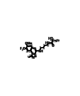 COc1cc2nc(NCCCCNC(=O)[C@@H](O)C(C)C)c3nnc(C)n3c2cc1C(F)(F)F